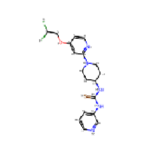 FC(F)COc1ccnc(N2CCC(NC(=S)Nc3cccnc3)CC2)c1